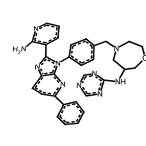 Nc1ncccc1-c1nc2ccc(-c3ccccc3)nc2n1-c1ccc(CN2CCOCC(Nc3ncncn3)C2)cc1